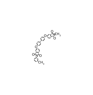 Cc1cccc(N2C(=O)c3ccc(Oc4ccc(-c5ccc(Oc6ccc7c(c6)C(=O)N(C)C7=O)cc5)cc4)cc3C2=O)c1